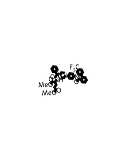 COC(=O)CCC(NC(=O)C(c1ccccc1)N1CCN(c2ccc(NC(=O)c3ccccc3-c3ccc(C(F)(F)F)cc3)cc2)CC1)C(=O)OC